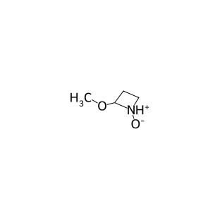 COC1CC[NH+]1[O-]